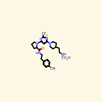 N#Cc1ccc(CCNC(=O)C2CCCN2c2cc(N3CCC(CCNC(=O)O)CC3)nc(C(F)(F)F)n2)cc1